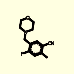 Cc1cc(F)c(CN2CCOCC2)cc1C#N